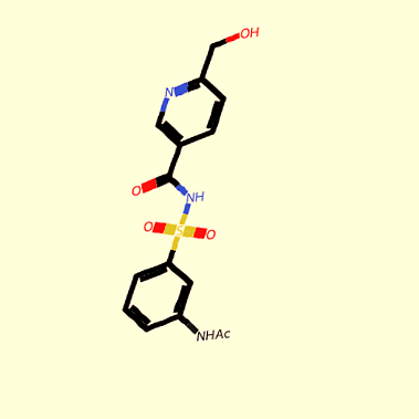 CC(=O)Nc1cccc(S(=O)(=O)NC(=O)c2ccc(CO)nc2)c1